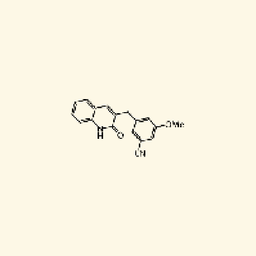 COc1cc(C#N)cc(Cc2cc3ccccc3[nH]c2=O)c1